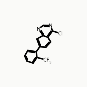 FC(F)(F)c1ccccc1-c1ccc2c(Cl)ncnc2c1